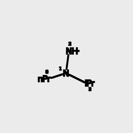 CCCN([NH])C(C)C